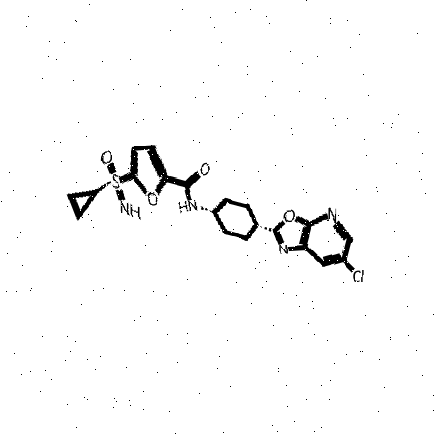 N=[S@](=O)(c1ccc(C(=O)N[C@H]2CC[C@@H](c3nc4cc(Cl)cnc4o3)CC2)o1)C1CC1